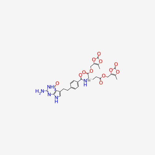 Cc1oc(=O)oc1COC(=O)CC[C@H](NC(=O)c1ccc(CCc2c[nH]c(N=C(N)N)c2C=O)cc1)C(=O)OCc1oc(=O)oc1C